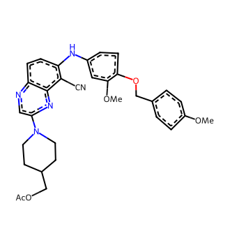 COc1ccc(COc2ccc(Nc3ccc4ncc(N5CCC(COC(C)=O)CC5)nc4c3C#N)cc2OC)cc1